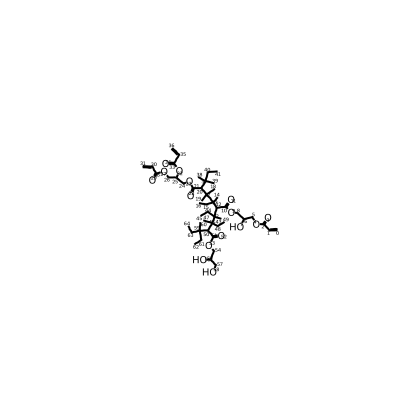 C=CC(=O)OCC(O)COC(=O)C(C(C)(CC)C(C)(C)C(C(=O)OCC(COC(=O)C=C)OC(=O)C=C)C(C)(C)CC)C(C)(CC)C(C)(CC)C(C(=O)OCC(O)CO)C(C)(CC)CC